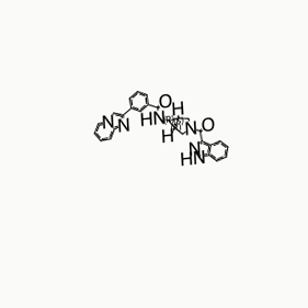 O=C(N[C@@H]1[C@@H]2CN(C(=O)c3n[nH]c4ccccc34)C[C@@H]21)c1cccc(-c2cn3ccccc3n2)c1